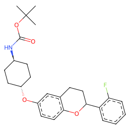 CC(C)(C)OC(=O)N[C@H]1CC[C@H](Oc2ccc3c(c2)CCC(c2ccccc2F)O3)CC1